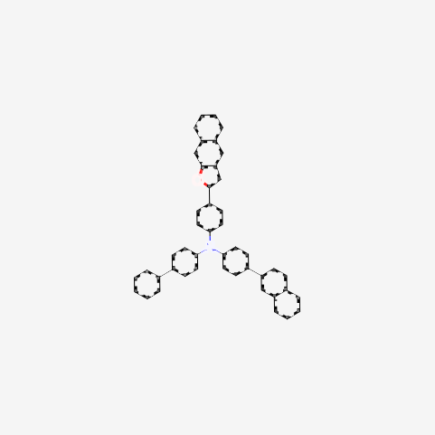 c1ccc(-c2ccc(N(c3ccc(-c4ccc5ccccc5c4)cc3)c3ccc(-c4cc5cc6ccccc6cc5o4)cc3)cc2)cc1